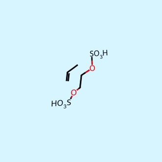 C=CC.O=S(=O)(O)OCCOS(=O)(=O)O